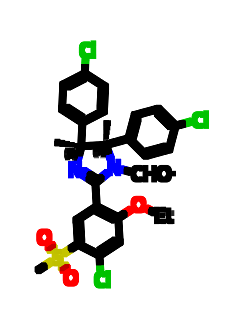 CCOc1cc(Cl)c(S(C)(=O)=O)cc1C1=N[C@@](C)(c2ccc(Cl)cc2)[C@@](C)(c2ccc(Cl)cc2)N1[C]=O